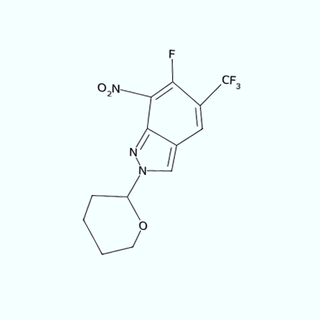 O=[N+]([O-])c1c(F)c(C(F)(F)F)cc2cn(C3CCCCO3)nc12